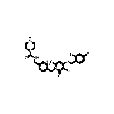 Cc1cc(OCc2ccc(F)cc2F)c(Br)c(=O)n1Cc1ccc(CNC(=O)N2CCNCC2)cc1